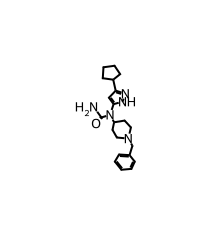 NC(=O)N(c1cc(C2CCCC2)n[nH]1)C1CCN(Cc2ccccc2)CC1